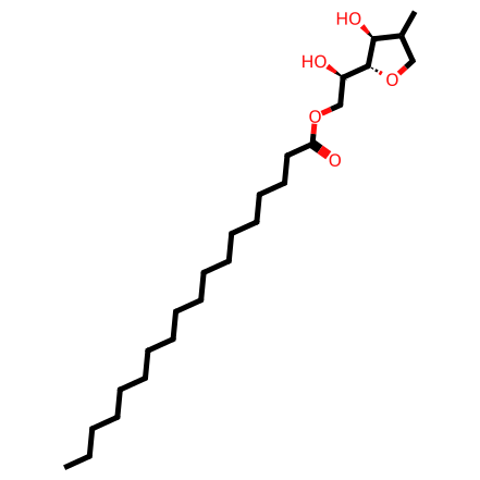 CCCCCCCCCCCCCCCCCC(=O)OC[C@@H](O)[C@H]1OCC(C)[C@@H]1O